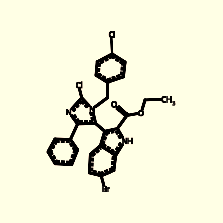 CCOC(=O)c1[nH]c2cc(Br)ccc2c1-c1c(-c2ccccc2)nc(Cl)n1Cc1ccc(Cl)cc1